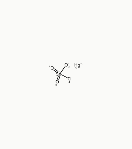 O=[Se](=O)([O-])Cl.[Hg+]